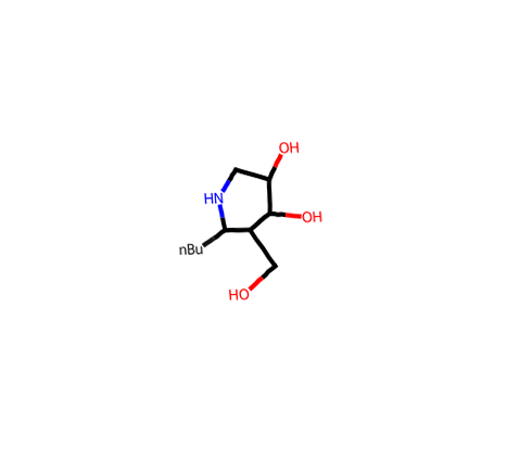 CCCCC1NCC(O)C(O)C1CO